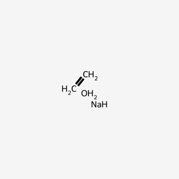 C=C.O.[NaH]